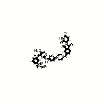 Cc1cnc(Nc2ccc(N3CCN(Cc4ccc5c(c4)C(=O)N(C4CCC(=O)NC4=O)C5=O)CC3)nn2)nc1Nc1cccc(S(=O)(=O)NC(C)(C)C)c1